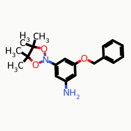 CC1(C)ON(c2cc(N)cc(OCc3ccccc3)c2)OC1(C)C